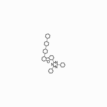 c1ccc(-c2ccc(-c3ccc(-c4cccc5oc6c(-c7nc(-c8ccccc8)nc(-c8ccccc8)n7)cccc6c45)cc3)cc2)cc1